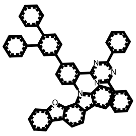 c1ccc(-c2nc(-c3ccccc3)nc(-c3cc(-c4ccc(-c5ccccc5)c(-c5ccccc5)c4)ccc3-n3c4ccccc4c4ccc5c6ccccc6oc5c43)n2)cc1